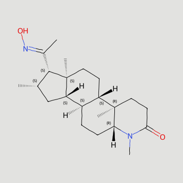 CC(=NO)[C@H]1[C@@H](C)C[C@H]2[C@@H]3CC[C@H]4N(C)C(=O)CC[C@]4(C)[C@H]3CC[C@@]21C